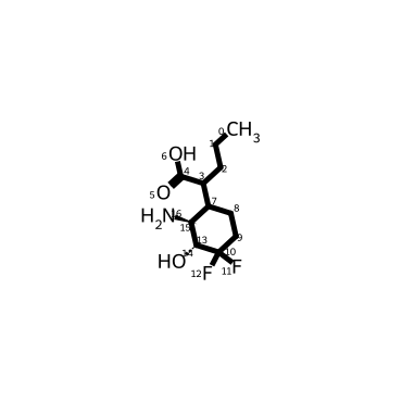 CCCC(C(=O)O)C1CCC(F)(F)[C@H](O)[C@H]1N